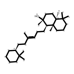 C/C(=C\CC[C@@H]1[C@@]2(C)CCCC(C)(C)[C@@H]2CC[C@@]1(C)O)CC[C@@H]1CCCCC1(C)C